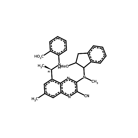 COC1Cc2ccccc2C1N(C)c1nc2c([C@@H](C)Nc3ccccc3C(=O)O)cc(C)cc2nc1C#N